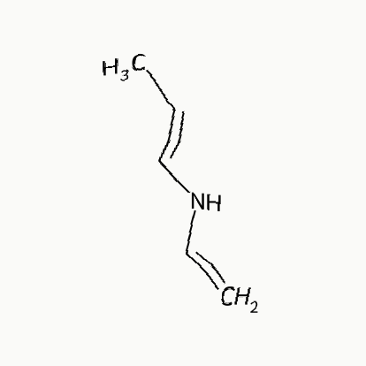 C=CNC=CC